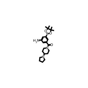 CC1(C)OB(c2cc(N)cc(C(=O)N3CCC(N4CCCC4)CC3)c2)OC1(C)C